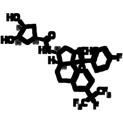 O=CC1C[C@@H](NC(=O)[C@H]2C[C@@H](O)[C@@H](O)C2)[C@@H]2CCc3cc(C(F)(C(F)(F)F)C(F)(F)F)ccc3C12S(=O)(=O)c1ccc(F)cc1